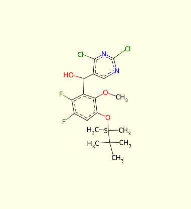 COc1c(O[Si](C)(C)C(C)(C)C)cc(F)c(F)c1C(O)c1cnc(Cl)nc1Cl